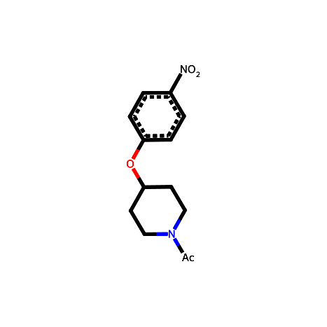 CC(=O)N1CCC(Oc2ccc([N+](=O)[O-])cc2)CC1